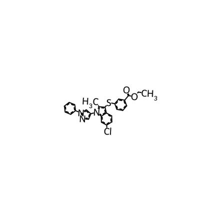 CCOC(=O)c1cccc(Sc2c(C)n(-c3cnn(-c4ccccc4)c3)c3cc(Cl)ccc23)c1